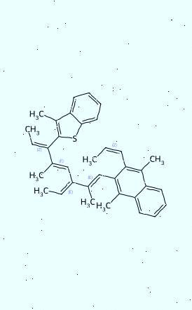 C/C=C\c1c(/C=C(C)/C(/C=C(C)/C(=C/C)c2sc3ccccc3c2C)=C/C)c(C)c2ccccc2c1C